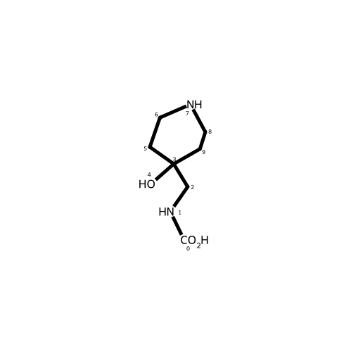 O=C(O)NCC1(O)CCNCC1